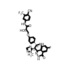 Cn1ncnc1[C@@H]1c2n[nH]c(=O)c3cc(F)cc(c23)N[C@H]1c1ccc(OC[C@H](O)C(=O)Nc2ccc(C#N)c(C(F)(F)F)c2)cc1